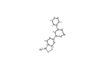 CC(=O)N1CCc2cc(-c3cncc(-c4ccccc4)c3)ccc21